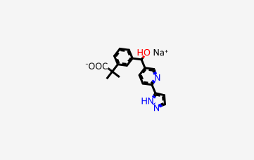 CC(C)(C(=O)[O-])c1cccc(C(O)c2ccc(-c3ccn[nH]3)nc2)c1.[Na+]